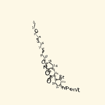 C=COCCSCCSCCOc1ccc2cc(-c3ccc(CCCCC)cc3CC)c(=O)oc2n1